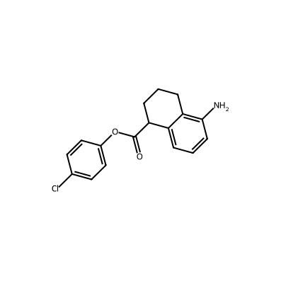 Nc1cccc2c1CCCC2C(=O)Oc1ccc(Cl)cc1